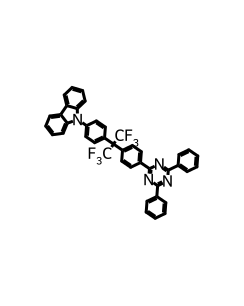 FC(F)(F)C(c1ccc(-c2nc(-c3ccccc3)nc(-c3ccccc3)n2)cc1)(c1ccc(-n2c3ccccc3c3ccccc32)cc1)C(F)(F)F